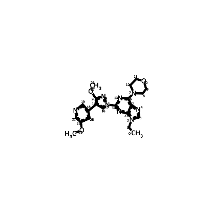 CCn1cnc2c(N3CCOCC3)nc(-n3cc(-c4cncc(OC)c4)c(OC)n3)nc21